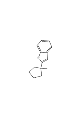 CC1(C2=Cc3ccccc3[P]2)CCCC1